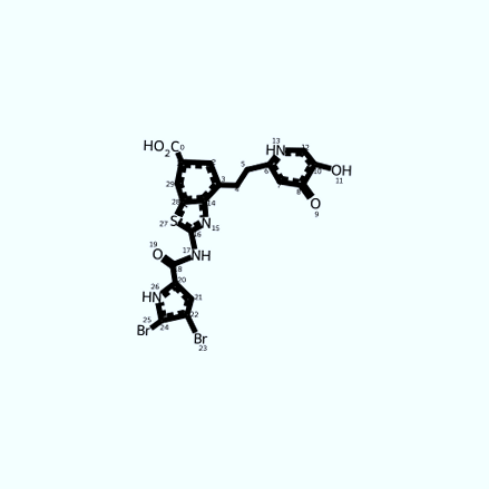 O=C(O)c1cc(CCc2cc(=O)c(O)c[nH]2)c2nc(NC(=O)c3cc(Br)c(Br)[nH]3)sc2c1